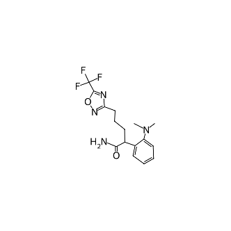 CN(C)c1ccccc1C(CCCc1noc(C(F)(F)F)n1)C(N)=O